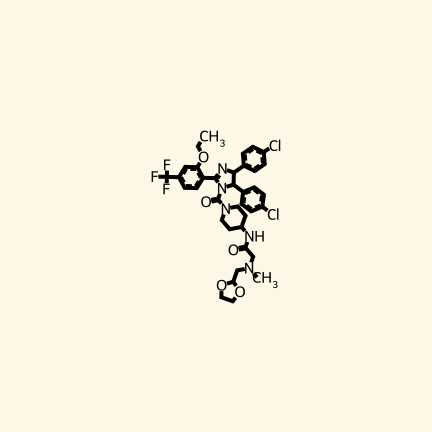 CCOc1cc(C(F)(F)F)ccc1C1=NC(c2ccc(Cl)cc2)C(c2ccc(Cl)cc2)N1C(=O)N1CCC(NC(=O)CN(C)CC2OCCO2)CC1